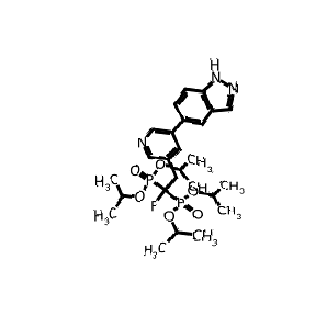 CC(C)OP(=O)(OC(C)C)C(F)(Cc1cncc(-c2ccc3[nH]ncc3c2)c1)P(=O)(OC(C)C)OC(C)C